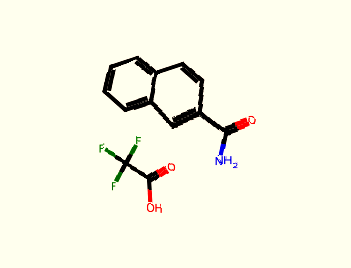 NC(=O)c1ccc2ccccc2c1.O=C(O)C(F)(F)F